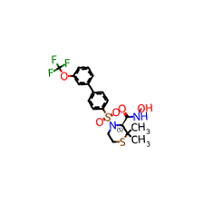 CC1(C)SCCN(S(=O)(=O)c2ccc(-c3cccc(OC(F)(F)F)c3)cc2)[C@H]1C(=O)NO